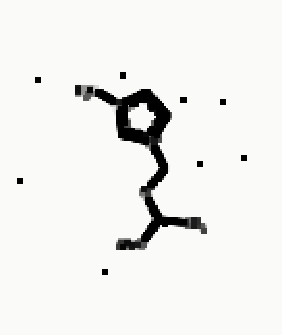 COC(C)OC[n+]1ccn(C)c1